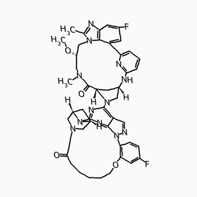 CO[C@H]1CN(C)C(=O)[C@@H]2C[C@@H](CN2c2nc3nc4c2cnn4-c2ccc(F)cc2OCCCCCC(=O)N2C[C@H]4C[C@@H](C2)N34)Nc2cccc(n2)-c2cc(F)cc3nc(C)n(c23)C1